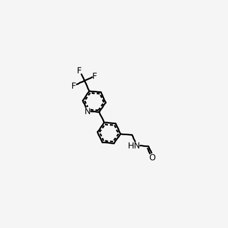 O=CNCc1cccc(-c2ccc(C(F)(F)F)cn2)c1